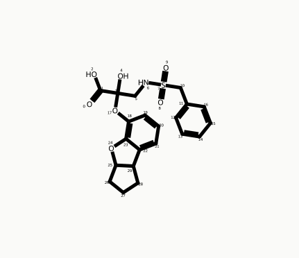 O=C(O)C(O)(CNS(=O)(=O)Cc1ccccc1)Oc1cccc2c1OC1CCCC21